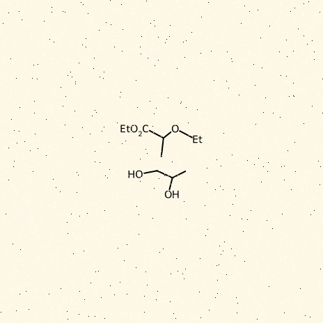 CC(O)CO.CCOC(=O)C(C)OCC